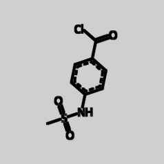 CS(=O)(=O)Nc1ccc(C(=O)Cl)cc1